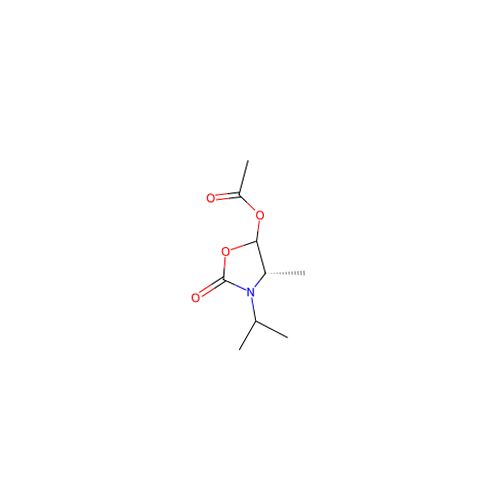 CC(=O)OC1OC(=O)N(C(C)C)[C@H]1C